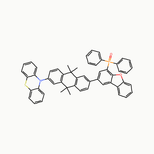 CC1(C)c2ccc(N3c4ccccc4Sc4ccccc43)cc2C(C)(C)c2ccc(-c3cc(P(=O)(c4ccccc4)c4ccccc4)c4oc5ccccc5c4c3)cc21